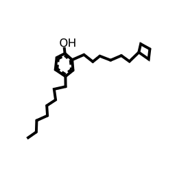 CCCCCCCCc1ccc(O)c(CCCCCCC2CCC2)c1